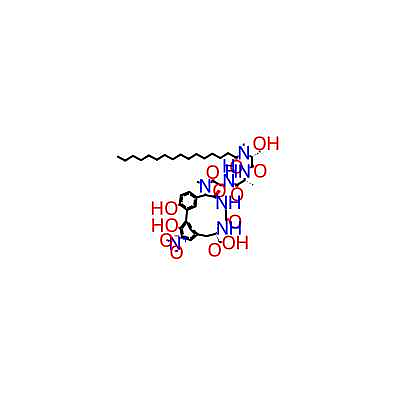 CCCCCCCCCCCCCCCC(=O)N(C)[C@H](CO)C(=O)N[C@H](C)C(=O)NCC(=O)N(C)[C@@H]1C(=O)NCC(=O)N[C@H](C(=O)O)Cc2cc(c(O)c([N+](=O)[O-])c2)-c2cc1ccc2O